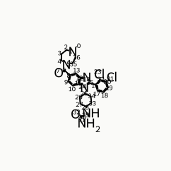 CN1CCCN(C(=O)c2ccc3c(c2)nc(-c2cccc(Cl)c2Cl)n3C2CCC(NC(N)=O)CC2)CC1